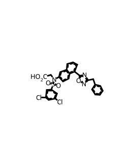 O=C(O)CN(c1ccc2c(-c3nc(Cc4ccccc4)no3)cccc2c1)S(=O)(=O)c1cc(Cl)cc(Cl)c1